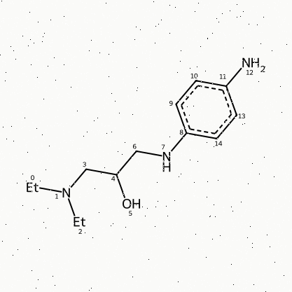 CCN(CC)CC(O)CNc1ccc(N)cc1